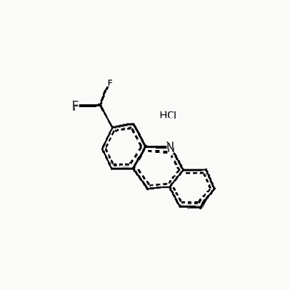 Cl.FC(F)c1ccc2cc3ccccc3nc2c1